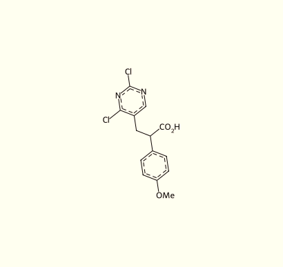 COc1ccc(C(Cc2cnc(Cl)nc2Cl)C(=O)O)cc1